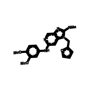 CNc1nc2cnc(Nc3ccc(OC)c(OC)c3)cc2n1Cc1ccco1